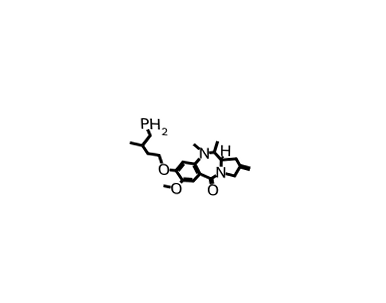 C=C1C[C@H]2C(C)N(C)c3cc(OCCC(C)CP)c(OC)cc3C(=O)N2C1